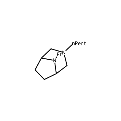 CCCCCN1CC2CCC(C1)N2CC